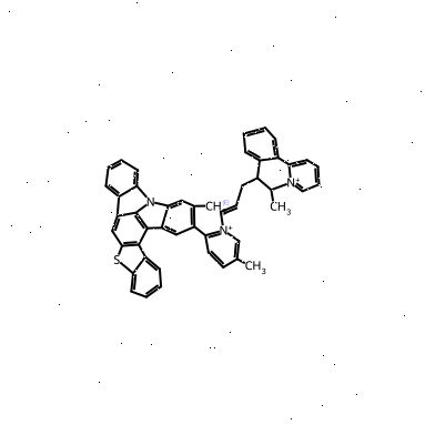 Cc1ccc(-c2cc3c4c5c(cc6c7ccccc7n(c3cc2C)c64)sc2ccccc25)[n+](/C=C/CC2c3ccccc3-c3cccc[n+]3C2C)c1